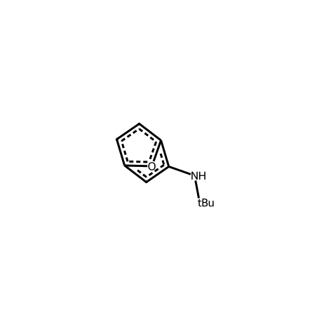 CC(C)(C)Nc1cc2ccc1o2